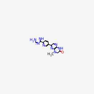 CN1CC(=O)Nc2ncc(-c3ccc(C(=N)/N=C\N)nc3)nc21